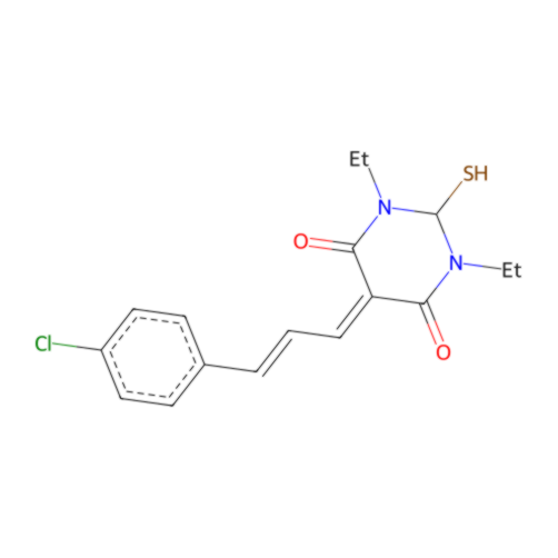 CCN1C(=O)C(=C/C=C/c2ccc(Cl)cc2)C(=O)N(CC)C1S